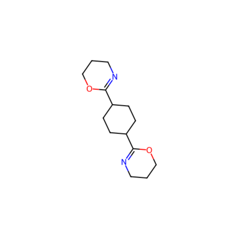 C1CN=C(C2CCC(C3=NCCCO3)CC2)OC1